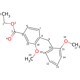 CCOC(=O)c1ccc(Cc2ccccc2OC)c(OC)c1